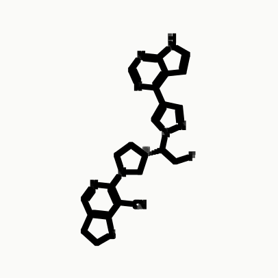 N#Cc1c(N2CC[C@H](C(CF)n3cc(-c4ncnc5[nH]ccc45)cn3)C2)ncc2c1SCC2